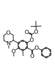 COc1c(C2COCCN2C)cc(OC(=O)OC(C)(C)C)c(C(=O)Oc2ccccc2)c1C